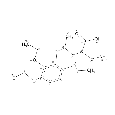 CCOc1ccc(OCC)c(OCC)c1CC(C)CC(CN)C(=O)O